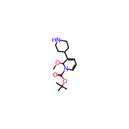 COC1C(C2CCNCC2)=CC=CN1C(=O)OC(C)(C)C